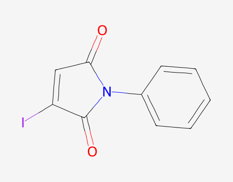 O=C1C=C(I)C(=O)N1c1ccccc1